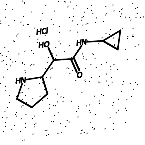 Cl.O=C(NC1CC1)C(O)C1CCCN1